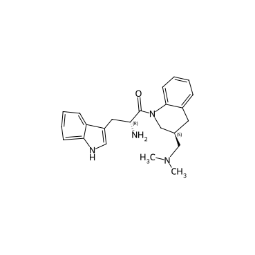 CN(C)C[C@@H]1Cc2ccccc2N(C(=O)[C@H](N)Cc2c[nH]c3ccccc23)C1